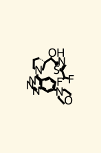 O[C@H](c1ncc(C(F)F)s1)[C@H]1CCCN(c2nnnc3cc(N4CCOCC4)ccc23)C1